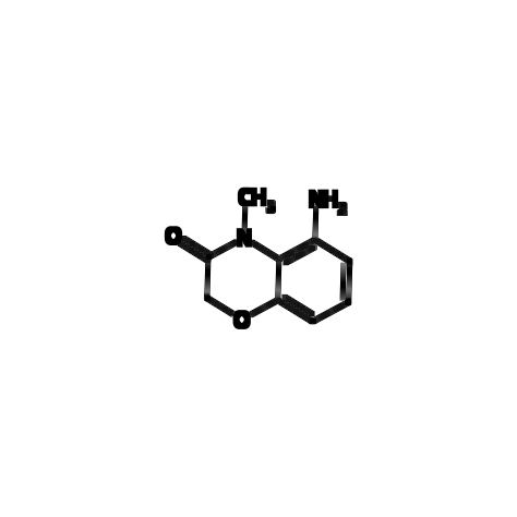 CN1C(=O)COc2cccc(N)c21